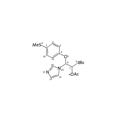 CSc1ccc(OC(C(OC(C)=O)C(C)(C)C)n2ccnc2)cc1